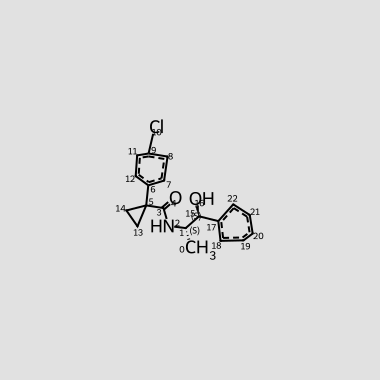 C[C@H](NC(=O)C1(c2ccc(Cl)cc2)CC1)[C@@H](O)c1ccccc1